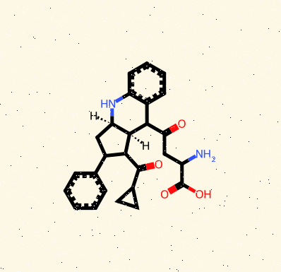 NC(CC(=O)C1c2ccccc2N[C@@H]2CC(c3ccccc3)C(C(=O)C3CC3)[C@H]12)C(=O)O